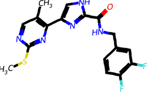 CSc1ncc(C)c(-c2c[nH]c(C(=O)NCc3ccc(F)c(F)c3)n2)n1